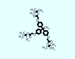 CC(C)(C)OC(=O)COc1ccc(C(C)(c2ccc(OCC(=O)OC(C)(C)C)cc2)c2ccc(OCC(=O)OC(C)(C)C)cc2)cc1